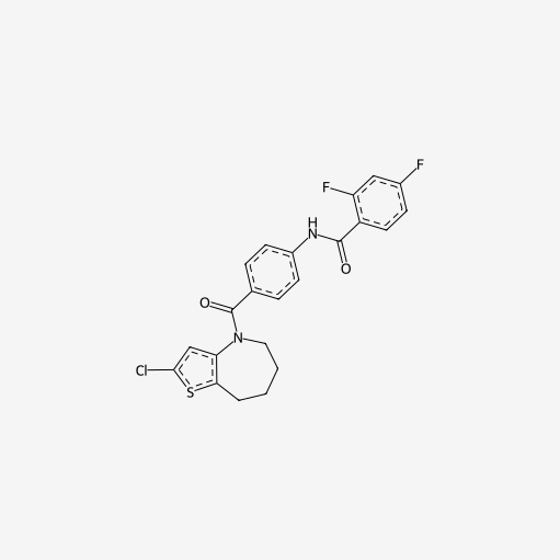 O=C(Nc1ccc(C(=O)N2CCCCc3sc(Cl)cc32)cc1)c1ccc(F)cc1F